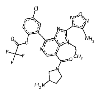 CCn1c(-c2nonc2N)nc2c(-c3cc(Cl)ccc3OC(=O)C(F)(F)F)ncc(C(=O)N3CCC(N)C3)c21